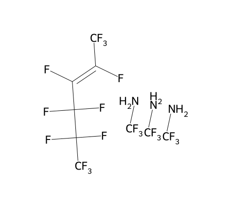 FC(=C(F)C(F)(F)C(F)(F)C(F)(F)F)C(F)(F)F.NC(F)(F)F.NC(F)(F)F.NC(F)(F)F